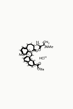 CN[C@@H](C)C(=O)N[C@H]1CCc2ccccc2N(Cc2c(OC)ccc3ccc(C(=O)OC)cc23)C1=O.Cl